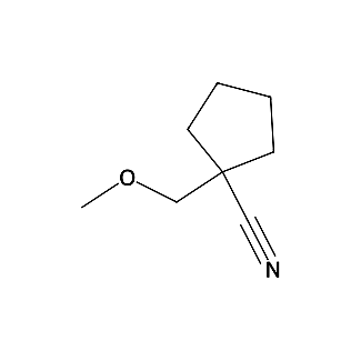 COCC1(C#N)CCCC1